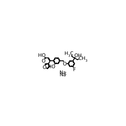 CCC(O)(CC)c1cc(F)cc(OCc2ccc(C(=CC(=O)O)c3ccoc3)c(O)c2)c1.[Na].[Na]